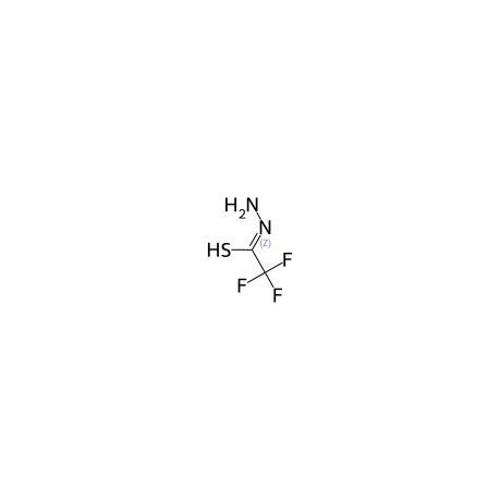 N/N=C(\S)C(F)(F)F